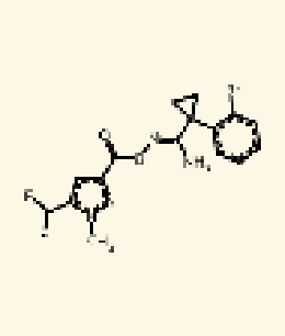 Cn1nc(C(=O)O/N=C(\N)C2(c3ccccc3Br)CC2)cc1C(F)F